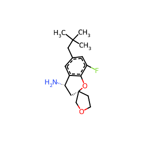 CC(C)(C)Cc1cc(F)c2c(c1)[C@@H](N)C[C@@]1(CCOC1)O2